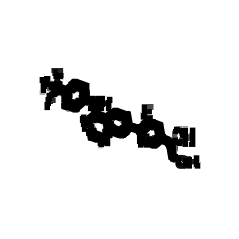 OC[C@H](O)c1cnc(-c2ccc3c(Nc4ccc(C(F)(F)F)cc4)ncnc3c2)c(F)c1